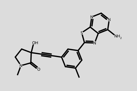 Cc1cc(C#CC2(O)CCN(C)C2=O)cc(-c2nc3c(N)ncnc3s2)c1